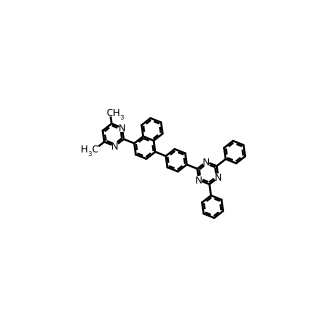 Cc1cc(C)nc(-c2ccc(-c3ccc(-c4nc(-c5ccccc5)nc(-c5ccccc5)n4)cc3)c3ccccc23)n1